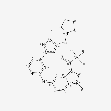 Cc1nn(-c2ccnc(Nc3ccc4c(c3)c(C(=O)C(C)(C)C)cn4C)n2)cc1CN1CCCC1